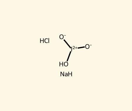 Cl.[NaH].[O-][I+2]([O-])O